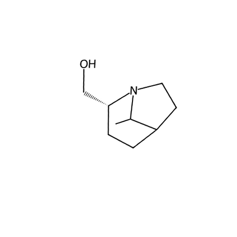 CC1C2CC[C@H](CO)N1CC2